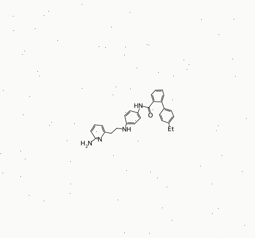 CCc1ccc(-c2ccccc2C(=O)Nc2ccc(NCCc3cccc(N)n3)cc2)cc1